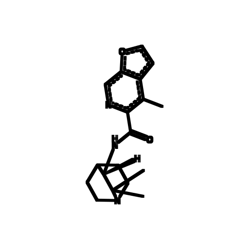 Cc1c(C(=O)N[C@H]2C3CCN(CC3)C2(C)C)ncc2occc12